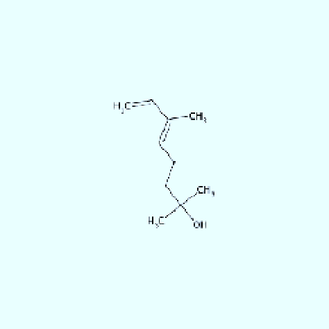 C=CC(C)=CCCC(C)(C)O